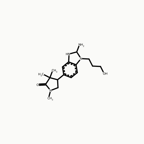 CN1CC(c2ccc3c(c2)NC(N)N3CCCO)C(C)(C)C1=O